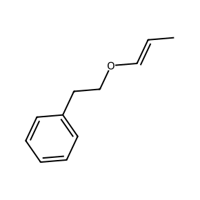 CC=COCCc1ccccc1